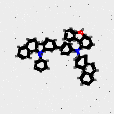 c1ccc(-n2c3cc(-c4ccc(N(c5ccc6c(ccc7ccccc76)c5)c5cccc6oc7ccccc7c56)cc4)ccc3c3ccc4ccccc4c32)cc1